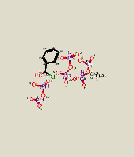 O=[PH]([O-])O[PH](=O)[O-].O=[PH]([O-])O[PH](=O)[O-].O=[PH]([O-])O[PH](=O)[O-].OC(Cl)c1ccccc1.[Ce+3].[Ce+3]